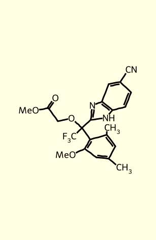 COC(=O)COC(c1nc2cc(C#N)ccc2[nH]1)(c1c(C)cc(C)cc1OC)C(F)(F)F